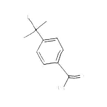 CC(C)(C)C(=O)c1ccc(C(C)(C)I)cc1